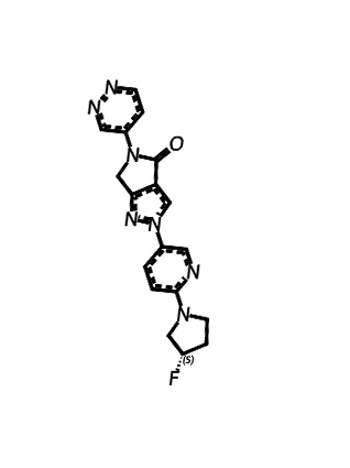 O=C1c2cn(-c3ccc(N4CC[C@H](F)C4)nc3)nc2CN1c1ccnnc1